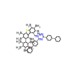 Bc1c(B)c(B)c(-c2c(B)c(B)c3sc4c(B)c(B)c(B)c(/C=N/C(=N\C(=N)c5ccc(-c6ccccc6)cc5)c5ccc(-c6ccccc6)cc5)c4c3c2B)c(B)c1B